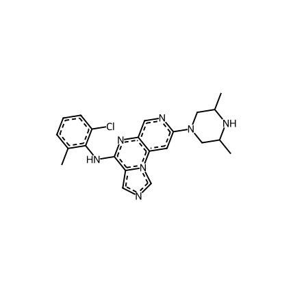 Cc1cccc(Cl)c1Nc1nc2cnc(N3CC(C)NC(C)C3)cc2n2cncc12